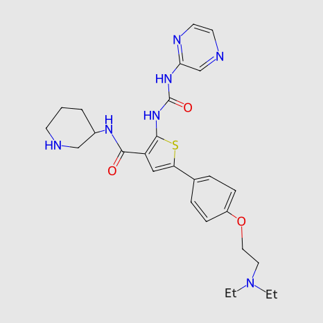 CCN(CC)CCOc1ccc(-c2cc(C(=O)NC3CCCNC3)c(NC(=O)Nc3cnccn3)s2)cc1